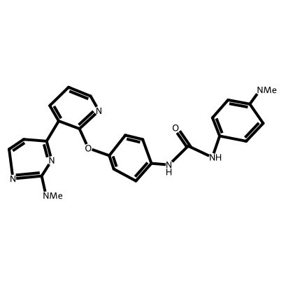 CNc1ccc(NC(=O)Nc2ccc(Oc3ncccc3-c3ccnc(NC)n3)cc2)cc1